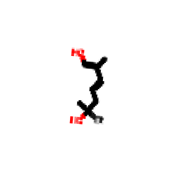 CCC(C)(O)CC=CC(C)=CO